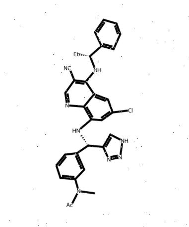 CC[C@@H](Nc1c(C#N)cnc2c(N[C@@H](c3cccc(N(C)C(C)=O)c3)c3c[nH]nn3)cc(Cl)cc12)c1ccccc1